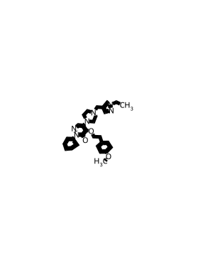 CCn1cc(CN2CCN(c3cnn(-c4ccccc4)c(=O)c3OCCc3ccc(OC)cc3)CC2)cn1